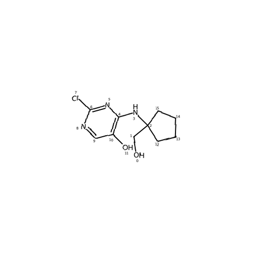 OCC1(Nc2nc(Cl)ncc2O)CCCC1